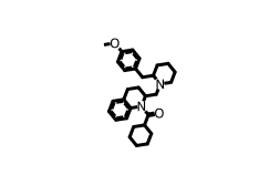 COc1ccc(CC2CCCCN2CC2CCc3ccccc3N2C(=O)C2CCCCC2)cc1